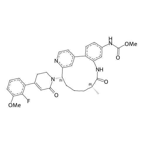 COC(=O)Nc1ccc2c(c1)NC(=O)[C@H](C)CCC[C@H](N1CCC(c3cccc(OC)c3F)=CC1=O)c1cc-2ccn1